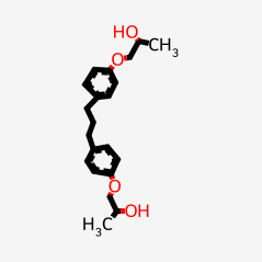 CC(O)COc1ccc(CCCc2ccc(OCC(C)O)cc2)cc1